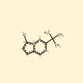 CC(C)(C)c1ncc2ccc(Cl)n2n1